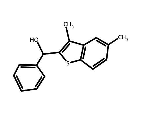 Cc1ccc2sc(C(O)c3ccccc3)c(C)c2c1